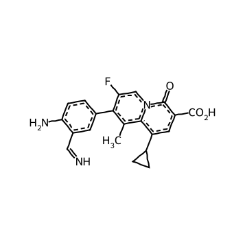 Cc1c(-c2ccc(N)c(C=N)c2)c(F)cn2c(=O)c(C(=O)O)cc(C3CC3)c12